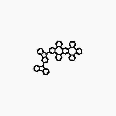 c1ccc2c(c1)c1ccccc1c1cc3c4ccccc4c4ccc(-n5c6ccccc6c6cc(-n7c8ccccc8c8ccccc87)ccc65)cc4c4ccccc4c3cc1c1ccccc21